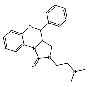 CN(C)CCN1CC2C(c3ccccc3)Oc3ccccc3N2C1=O